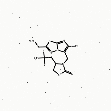 COCc1nn2c(CN3C(=O)OCC3CC(C)(F)F)c(C(F)(F)F)nc2s1